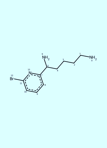 NCCCCC(N)c1cccc(Br)n1